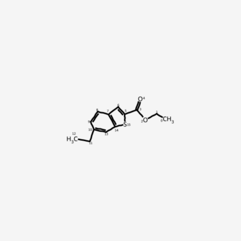 CCOC(=O)c1cc2ccc(CC)cc2s1